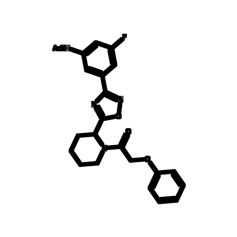 CC(=O)Nc1cc(F)cc(-c2noc(C3CCCCN3C(=O)COc3ccccc3)n2)c1